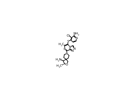 Cc1nc(N2CCC3(CC2)CO[C@@H](C)C3N)c2nncn2c1Sc1ccnc(N)c1Cl